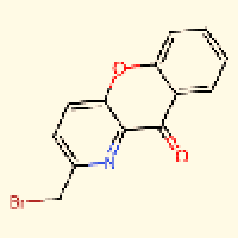 O=c1c2ccccc2oc2ccc(CBr)nc12